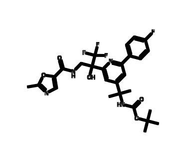 Cc1ncc(C(=O)NCC(O)(c2cc(C(C)(C)NC(=O)OC(C)(C)C)cc(-c3ccc(F)cc3)n2)C(F)(F)F)o1